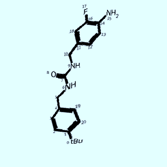 CC(C)(C)c1ccc(CNC(=O)NCc2ccc(N)c(F)c2)cc1